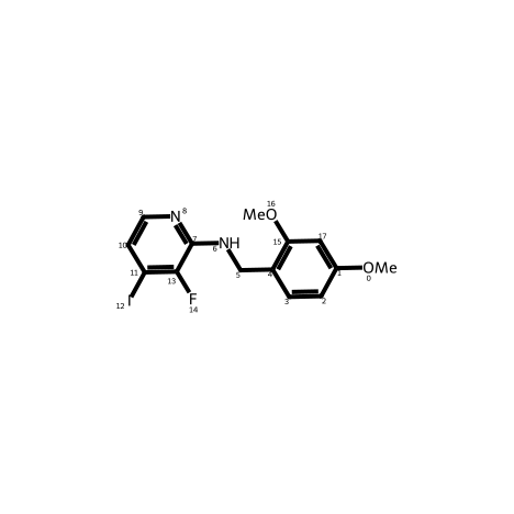 COc1ccc(CNc2nccc(I)c2F)c(OC)c1